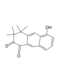 CC1(C)C(=O)C(=O)c2cc3cccc(O)c3cc2C1(C)C